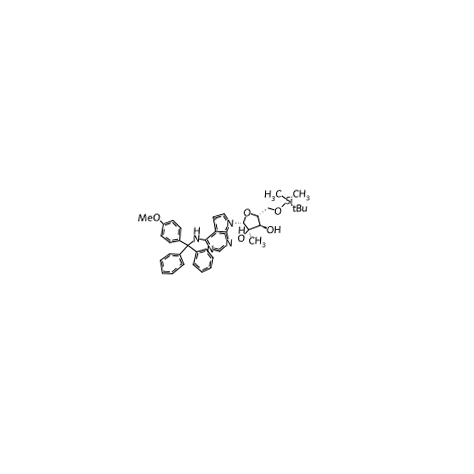 COc1ccc(C(Nc2ncnc3c2ccn3[C@@H]2O[C@H](CO[Si](C)(C)C(C)(C)C)[C@@H](O)[C@@]2(C)O)(c2ccccc2)c2ccccc2)cc1